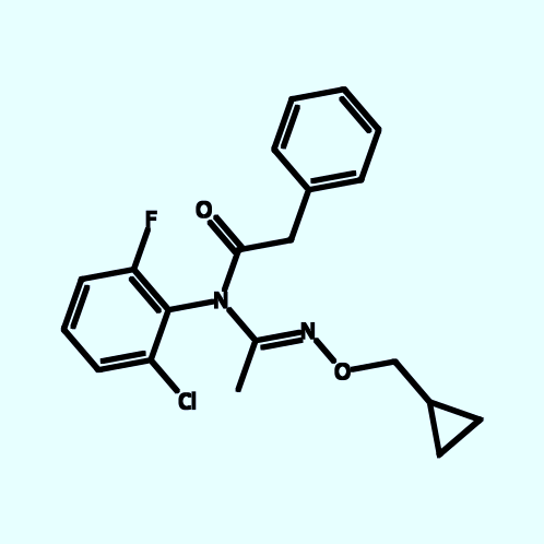 CC(=NOCC1CC1)N(C(=O)Cc1ccccc1)c1c(F)cccc1Cl